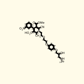 COC(=O)C1=C(C#N)N(CCOCCOc2ccc(OCC(O)CNC(C)C)cc2)C(C)C(C(=O)O)=C1c1cccc([N+](=O)[O-])c1